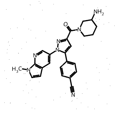 Cn1ccc2cc(-n3nc(C(=O)N4CCCC(N)C4)cc3-c3ccc(C#N)cc3)cnc21